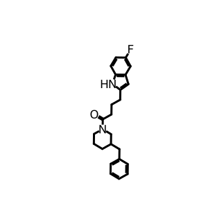 O=C(CCCc1cc2cc(F)ccc2[nH]1)N1CCCC(Cc2ccccc2)C1